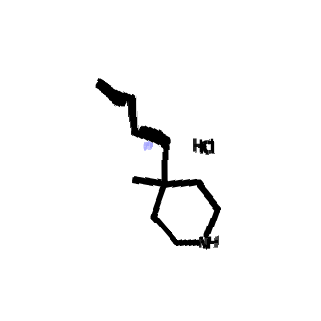 C=C/C=C/C1(C)CCNCC1.Cl